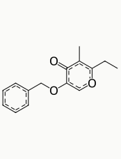 CCc1occ(OCc2ccccc2)c(=O)c1C